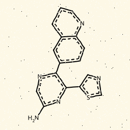 Nc1cnc(-c2ccc3ncccc3c2)c(-c2cncs2)n1